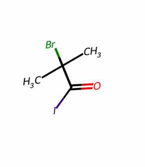 CC(C)(Br)C(=O)I